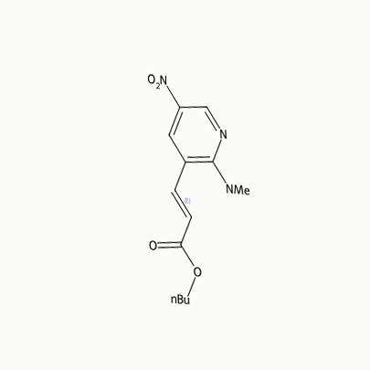 CCCCOC(=O)/C=C/c1cc([N+](=O)[O-])cnc1NC